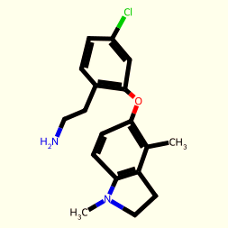 Cc1c(Oc2cc(Cl)ccc2CCN)ccc2c1CCN2C